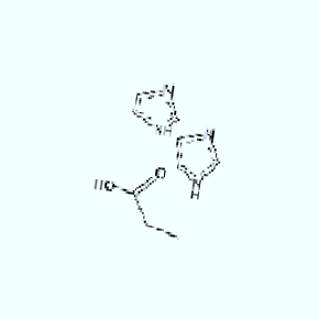 CCC(=O)O.c1c[nH]cn1.c1c[nH]cn1